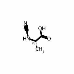 C[C@H](NC#N)C(=O)O